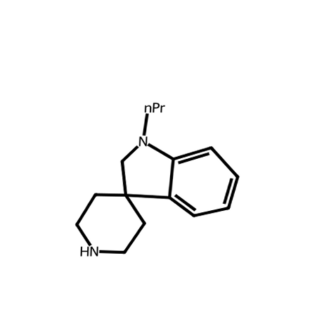 CCCN1CC2(CCNCC2)c2ccccc21